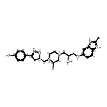 Cc1nc2cc(OC[C@@H](O)CN3CCN(C[C@H]4CC(c5ccc(F)cc5)=NO4)C(C)C3)ccc2s1